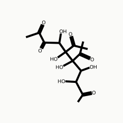 CC(=O)C(=O)C(O)C(O)(C(C)=O)C(O)(C(C)=O)C(O)C(O)C(C)=O